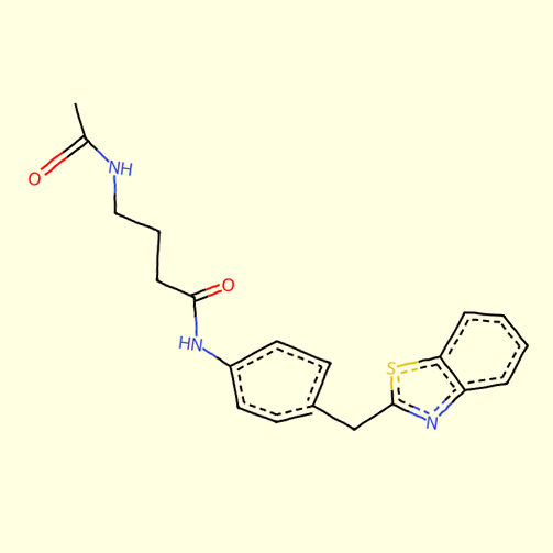 CC(=O)NCCCC(=O)Nc1ccc(Cc2nc3ccccc3s2)cc1